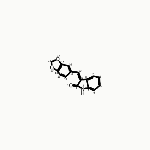 O=C1Nc2ccccc2C1=Cc1ccc2c(c1)OCO2